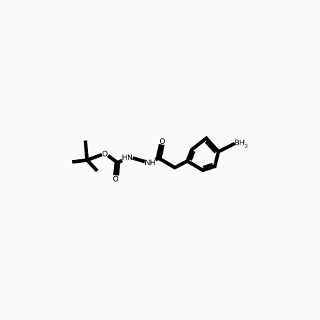 Bc1ccc(CC(=O)NNC(=O)OC(C)(C)C)cc1